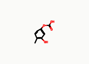 Cc1ccc(OC(=O)O)cc1O